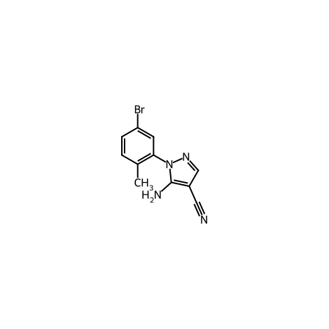 Cc1ccc(Br)cc1-n1ncc(C#N)c1N